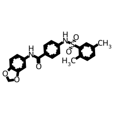 Cc1ccc(C)c(S(=O)(=O)Nc2ccc(C(=O)Nc3ccc4c(c3)OCO4)cc2)c1